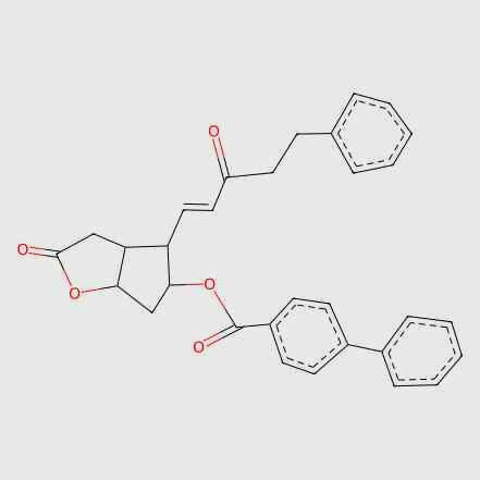 O=C(C=CC1C(OC(=O)c2ccc(-c3ccccc3)cc2)CC2OC(=O)CC21)CCc1ccccc1